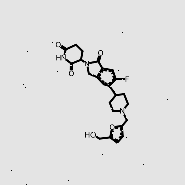 O=C1CCC(N2Cc3cc(C4CCN(Cc5ccc(CO)o5)CC4)c(F)cc3C2=O)C(=O)N1